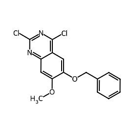 COc1cc2nc(Cl)nc(Cl)c2cc1OCc1ccccc1